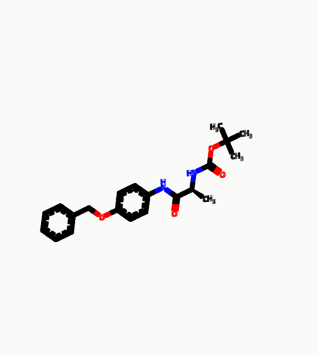 C[C@H](NC(=O)OC(C)(C)C)C(=O)Nc1ccc(OCc2ccccc2)cc1